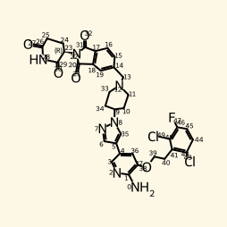 Nc1ncc(-c2cnn(C3CCN(Cc4ccc5c(c4)C(=O)N([C@@H]4CCC(=O)NC4=O)C5=O)CC3)c2)cc1OCCc1c(Cl)ccc(F)c1Cl